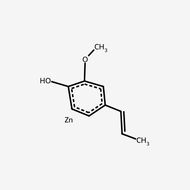 CC=Cc1ccc(O)c(OC)c1.[Zn]